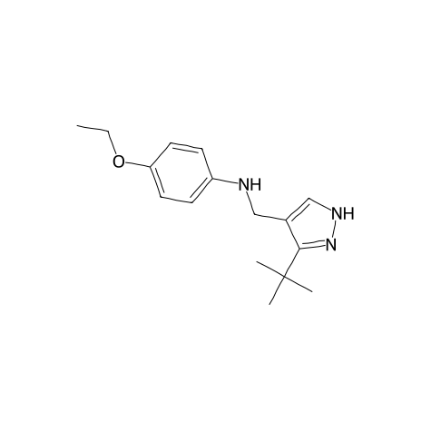 CCOc1ccc(NCc2c[nH]nc2C(C)(C)C)cc1